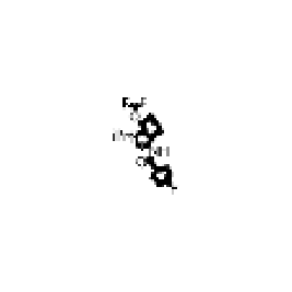 CC(C)n1nc(NC(=O)c2ccc(F)cc2)c2cccc(OC(F)F)c21